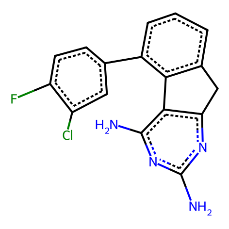 Nc1nc(N)c2c(n1)Cc1cccc(-c3ccc(F)c(Cl)c3)c1-2